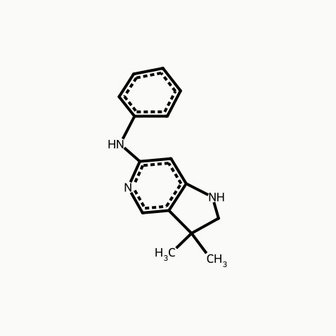 CC1(C)CNc2cc(Nc3ccccc3)ncc21